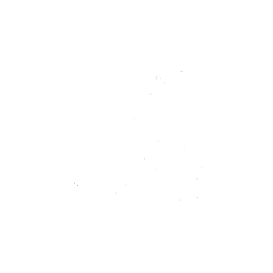 CC/N=c1/cc2oc3cc(NCC)c(C)cc3c(-c3ccccc3OCC)c-2cc1C